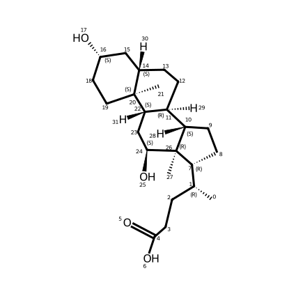 C[C@H](CCC(=O)O)[C@H]1CC[C@H]2[C@@H]3CC[C@H]4C[C@@H](O)CC[C@]4(C)[C@H]3C[C@H](O)[C@]12C